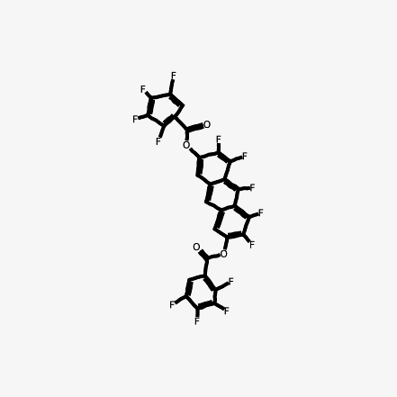 O=C(Oc1cc2cc3cc(OC(=O)c4cc(F)c(F)c(F)c4F)c(F)c(F)c3c(F)c2c(F)c1F)c1cc(F)c(F)c(F)c1F